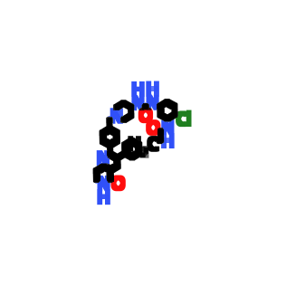 C=CC(=O)NC1C=C(NC(=O)NC2CCN(Cc3ccc(-c4nc5cc[nH]c(=O)c5cc4-c4ccccc4)cc3)CC2)C=CC1Cl